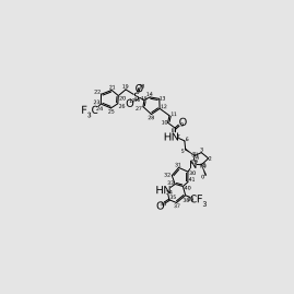 C[C@@H]1CC[C@H](CCNC(=O)C=Cc2ccc(S(=O)(=O)Cc3ccc(C(F)(F)F)cc3)cc2)N1c1ccc2[nH]c(=O)cc(C(F)(F)F)c2c1